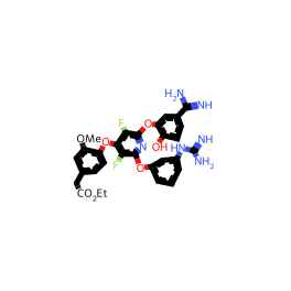 CCOC(=O)Cc1ccc(Oc2c(F)c(Oc3cccc(NC(=N)N)c3)nc(Oc3cc(C(=N)N)ccc3O)c2F)c(OC)c1